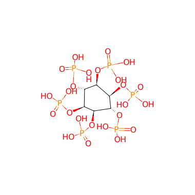 O=P(O)(O)O[C@H]1[C@H](OP(=O)(O)O)[C@@H](OP(=O)(O)O)[C@@H](OP(=O)(O)O)[C@H](OP(=O)(O)O)[C@H]1OP(=O)(O)O